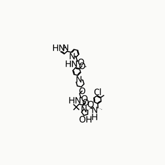 COc1cc(N2CCC(OCC(=O)N[C@H](C(=O)N3C[C@H](O)C[C@H]3C(=O)N[C@@H](C)c3ccc(Cl)c(C)c3)C(C)(C)C)CC2)ccc1NC(=O)c1cccc(-c2cc[nH]n2)n1